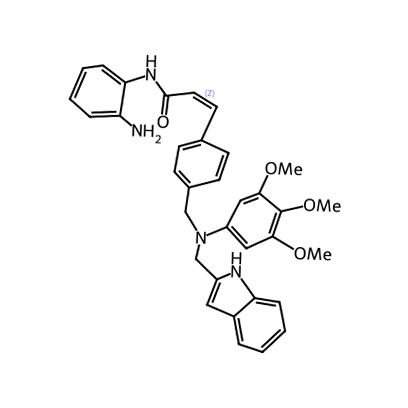 COc1cc(N(Cc2ccc(/C=C\C(=O)Nc3ccccc3N)cc2)Cc2cc3ccccc3[nH]2)cc(OC)c1OC